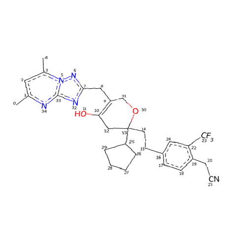 Cc1cc(C)n2nc(CC3=C(O)CC(CCc4ccc(CC#N)c(C(F)(F)F)c4)(C4CCCC4)OC3)nc2n1